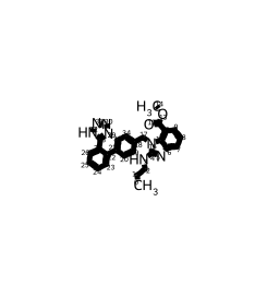 CCCNc1nc2cccc(C(=O)OC)c2n1Cc1ccc(-c2ccccc2-c2nnn[nH]2)cc1